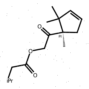 CC(C)CC(=O)OCC(=O)[C@]1(C)CC=CC1(C)C